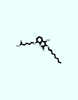 CCCCCCC=COc1c(O)c2cccc(OCCCCC(=O)O)c2oc1=O